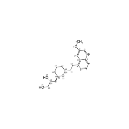 COc1cnc2cccc(CC[C@H]3CC[C][C@H](C[C@@H](O)CO)O3)c2c1